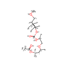 CCC(C)(CC(C)OCC(C)OC(=O)OC(C)(C)C(C)(C)CCOC(C)C)OC(=O)C(F)(F)F